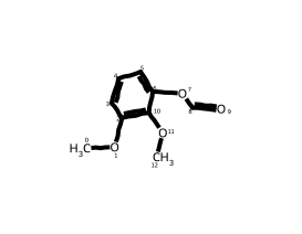 COc1cccc(OC=O)c1OC